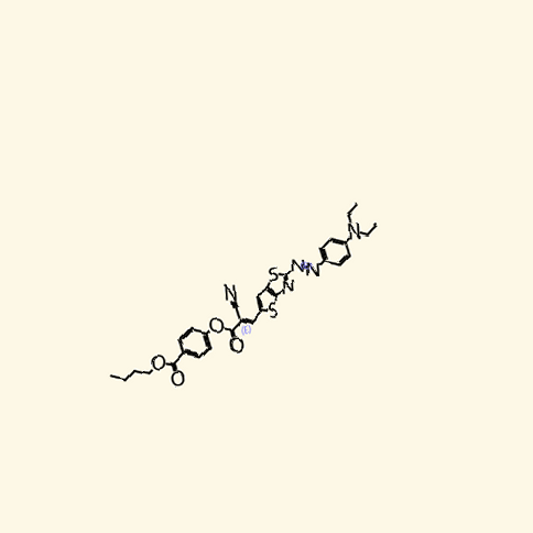 CCCCOC(=O)c1ccc(OC(=O)/C(C#N)=C/c2cc3sc(/N=N/c4ccc(N(CC)CC)cc4)nc3s2)cc1